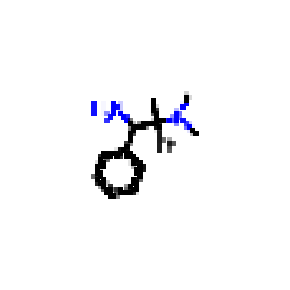 CCC(C)(C(N)c1ccccc1)N(C)C